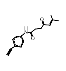 C#Cc1ccc(NC(=O)CCC(=O)C=C(C)C)cc1